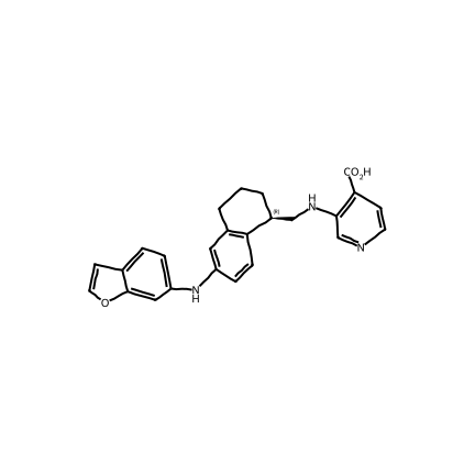 O=C(O)c1ccncc1NC[C@@H]1CCCc2cc(Nc3ccc4ccoc4c3)ccc21